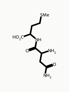 CSCCC(NC(=O)C(N)CC(N)=O)C(=O)O